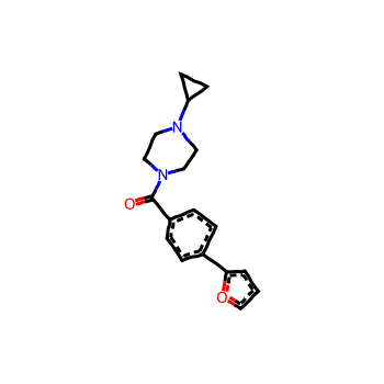 O=C(c1ccc(-c2ccco2)cc1)N1CCN(C2CC2)CC1